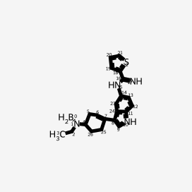 BN(CC)C1CC=C(c2c[nH]c3ccc(NC(=N)c4cccs4)cc23)CC1